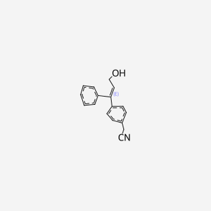 N#CCc1ccc(/C(=C/CO)c2ccccc2)cc1